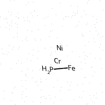 [Cr].[Ni].[PH2][Fe]